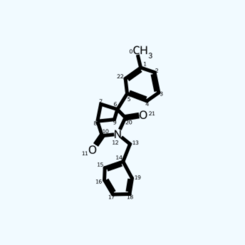 Cc1cccc(C23CC(C2)C(=O)N(Cc2ccccc2)C3=O)c1